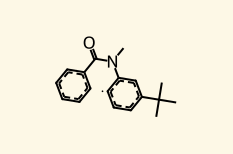 CN(C(=O)c1ccccc1)c1[c]ccc(C(C)(C)C)c1